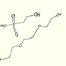 O=S(=O)(O)CCO.OCCOCCOCCO